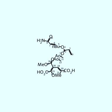 C=CC(=O)OCCCC.C=CC(N)=O.CC(C)=O.CC(C)=O.COC(=O)C(C=C(C)C(=O)O)=C(OC)C(=O)O